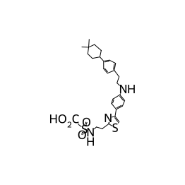 CC1(C)CCC(c2ccc(CCNc3ccc(-c4csc(CCNS(=O)(=O)CC(=O)O)n4)cc3)cc2)CC1